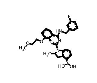 COCCOc1cccc2c(NCc3cccc(F)c3)nc(N3c4cccc(B(O)O)c4CC3C)nc12